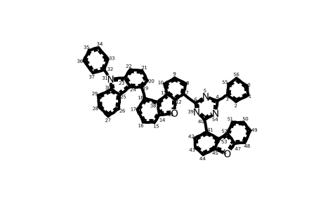 c1ccc(-c2nc(-c3cccc4c3oc3cccc(-c5cccc6c5c5ccccc5n6-c5ccccc5)c34)nc(-c3cccc4oc5ccccc5c34)n2)cc1